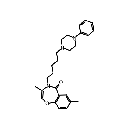 CC1=COc2ccc(C)cc2C(=O)N1CCCCCN1CCN(c2ccccc2)CC1